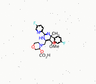 COC(=O)C1=C(CN2CCOC[C@@H]2OC(=O)O)NC(c2ccc(F)cn2)=NC1(C)c1ccc(F)cc1